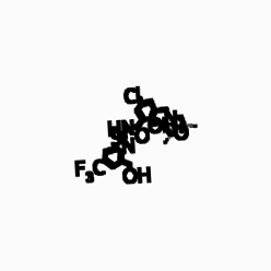 C[C@@H]1CN(Cc2cc(Cl)cc(C(=O)Nc3nc4c(CO)cc(C(F)(F)F)cc4s3)c2O)C[C@H](C)O1